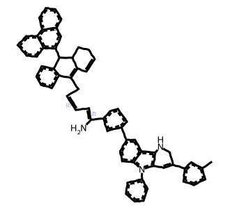 Cc1cccc(C2=Cc3c(c4cc(-c5cccc(/C(N)=C/C=C\CC6=C7C=CCCC7C(c7cc8ccccc8c8ccccc78)c7ccccc76)c5)ccc4n3-c3ccccc3)NC2)c1